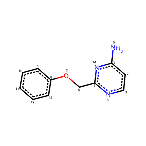 Nc1ccnc(COc2ccccc2)n1